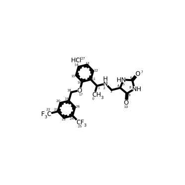 CC(NCC1NC(=O)NC1=O)c1ccccc1OCc1cc(C(F)(F)F)cc(C(F)(F)F)c1.Cl